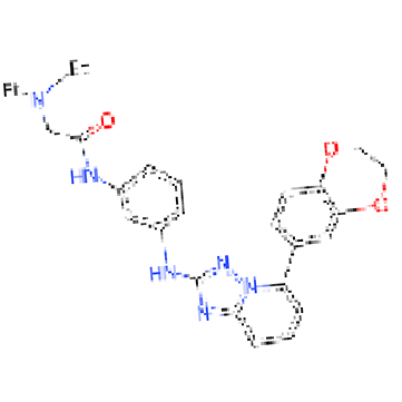 CCN(CC)CC(=O)Nc1cccc(Nc2nc3cccc(-c4ccc5c(c4)OCCO5)n3n2)c1